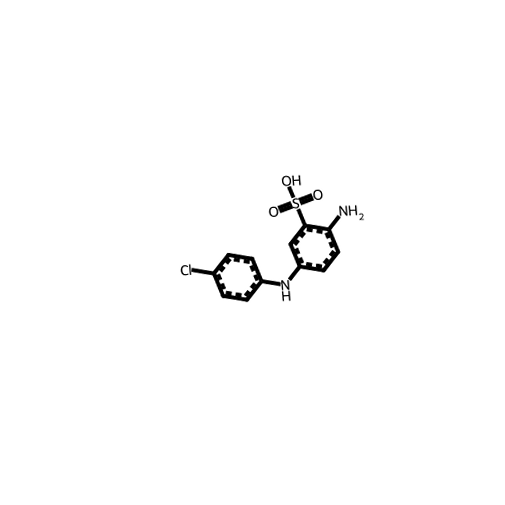 Nc1ccc(Nc2ccc(Cl)cc2)cc1S(=O)(=O)O